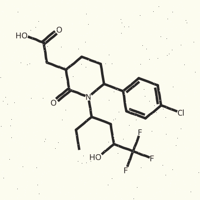 CCC(CC(O)C(F)(F)F)N1C(=O)C(CC(=O)O)CCC1c1ccc(Cl)cc1